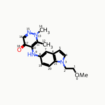 COCCn1ccc2cc(Nc3c(C)n(C)ncc3=O)ccc21